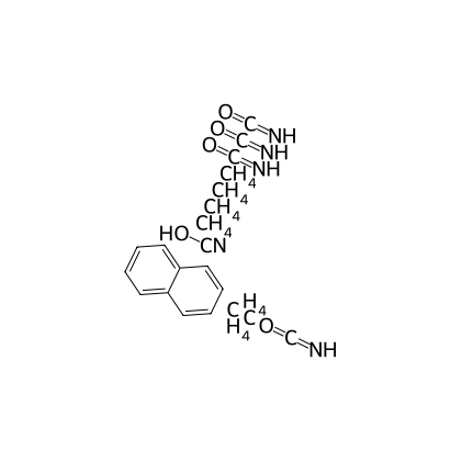 C.C.C.C.C.C.N#CO.N=C=O.N=C=O.N=C=O.N=C=O.c1ccc2ccccc2c1